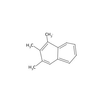 [CH2]c1c(C)c(C)cc2ccccc12